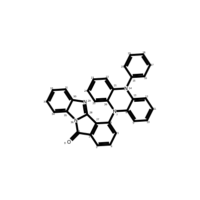 O=C1c2cccc(N3c4ccccc4N(c4ccccc4)c4ccccc43)c2-c2nc3ccccc3n21